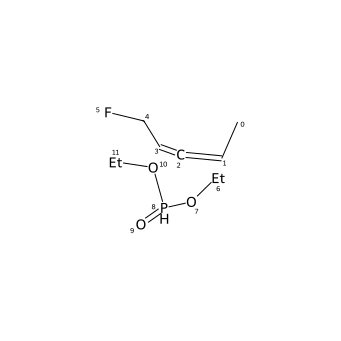 CC=C=CCF.CCO[PH](=O)OCC